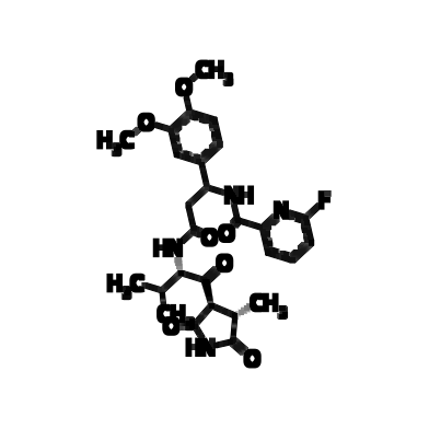 COc1ccc(C(CC(=O)N[C@H](C(=O)[C@@H]2C(=O)NC(=O)[C@H]2C)C(C)C)NC(=O)c2cccc(F)n2)cc1OC